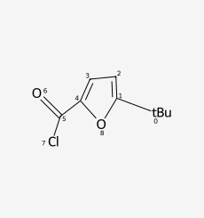 CC(C)(C)c1ccc(C(=O)Cl)o1